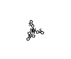 c1ccc(-n2c3ccccc3c3c(-c4nc(-c5ccc6c(c5)sc5ccccc56)nc(-c5ccc6c(c5)sc5ccccc56)n4)cccc32)cc1